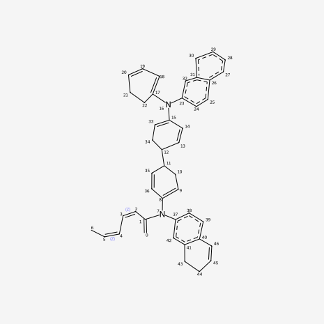 C=C(/C=C\C=C/C)N(C1=CCC(C2C=CC(N(C3=CC=CCC3)c3ccc4ccccc4c3)=CC2)C=C1)c1ccc2c(c1)CCC=C2